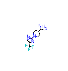 CC(N)C1CCN(c2nc(C(F)(F)F)cn2C)CC1